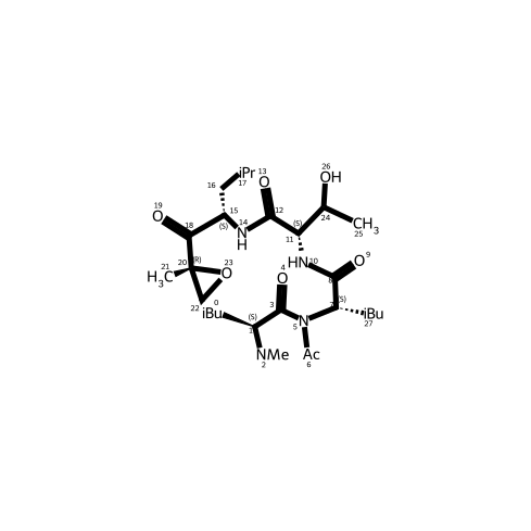 CCC(C)[C@H](NC)C(=O)N(C(C)=O)[C@H](C(=O)N[C@H](C(=O)N[C@@H](CC(C)C)C(=O)[C@@]1(C)CO1)C(C)O)C(C)CC